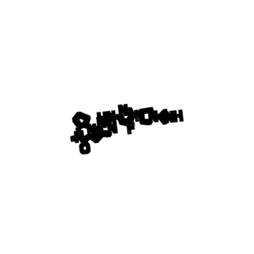 CN(C)C(=O)c1cc2cnc(Nc3cc(F)c(N4CCN(C5CNC5)CC4)cn3)nc2n1C1CCCC1